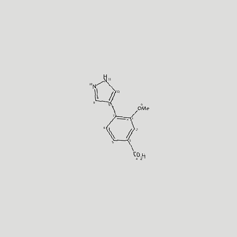 COc1cc(C(=O)O)ccc1-c1cn[nH]c1